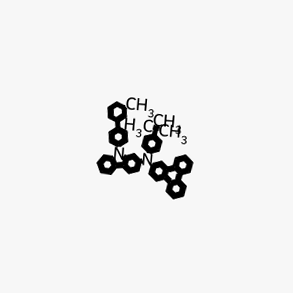 CC1C=C(c2ccc(-n3c4ccccc4c4ccc(N(c5ccc(C(C)(C)C)cc5)c5ccc6c7ccccc7c7ccccc7c6c5)cc43)cc2)C=CC1